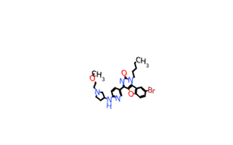 CCCCCn1c(=O)nc(-c2ccc(NC3CCN(CCOC)C3)nc2)c2oc3ccc(Br)cc3c21